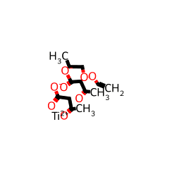 C=COOCCC.CC(=O)CC(=O)[O-].CC(=O)CC(=O)[O-].[Ti+2]